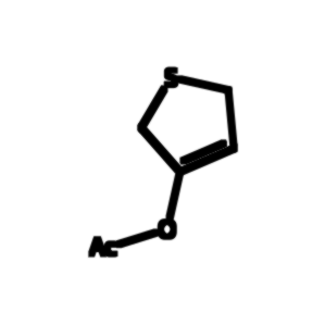 CC(=O)OC1=CCSC1